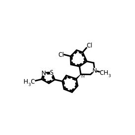 Cc1cc(-c2cccc([C@@H]3CN(C)Cc4c(Cl)cc(Cl)cc43)c2)sn1